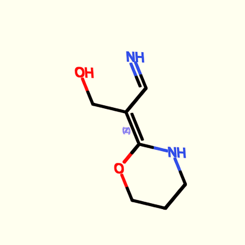 N=C/C(CO)=C1\NCCCO1